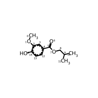 COc1cc(C(=O)OCC(C)C)ccc1O